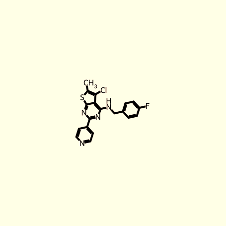 Cc1sc2nc(-c3ccncc3)nc(NCc3ccc(F)cc3)c2c1Cl